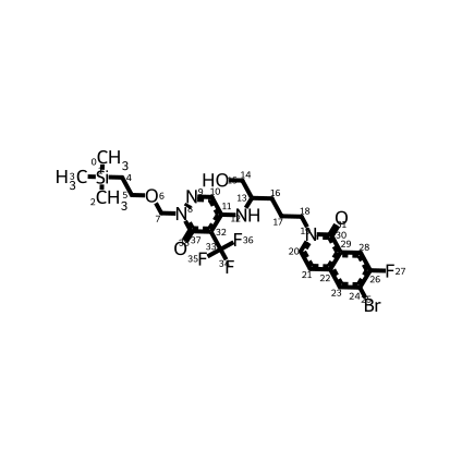 C[Si](C)(C)CCOCn1ncc(NC(CO)CCCn2ccc3cc(Br)c(F)cc3c2=O)c(C(F)(F)F)c1=O